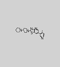 Cc1ccncc1-c1cnc2nc(N3CCC(N4CCCCC4)CC3)sc2c1